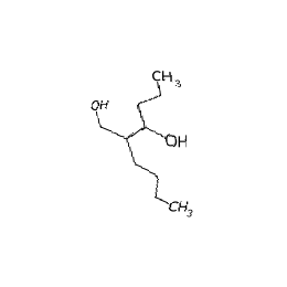 CCCCC(CO)C(O)CCC